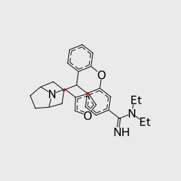 CCN(CC)C(=N)c1ccc2c(c1)Oc1ccccc1C2C1CC2CCC(C1)N2Cc1ccoc1